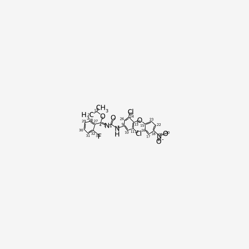 CC(C)OC(=NC(=O)Nc1cc(Cl)c(Oc2ccc([N+](=O)[O-])cc2)c(Cl)c1)c1ccccc1F